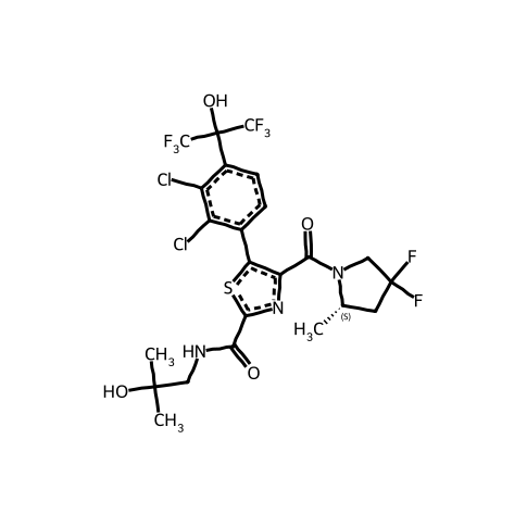 C[C@H]1CC(F)(F)CN1C(=O)c1nc(C(=O)NCC(C)(C)O)sc1-c1ccc(C(O)(C(F)(F)F)C(F)(F)F)c(Cl)c1Cl